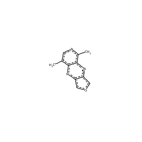 Cc1cnc(C)c2nc3cocc3nc12